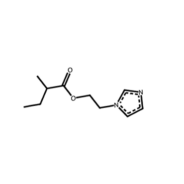 CCC(C)C(=O)OCCn1ccnc1